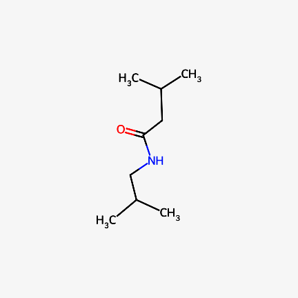 CC(C)CNC(=O)CC(C)C